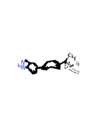 CC(C)c1ccc(-c2ccc3[nH]ncc3c2)cc1